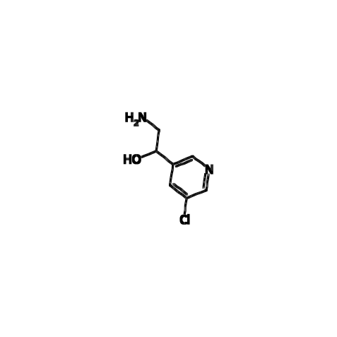 NCC(O)c1cncc(Cl)c1